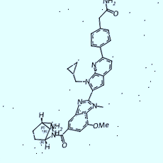 COc1cc(C(=O)N2C[C@H]3CC[C@@H]2[C@@H]3N)cc2nc(-c3cc4ccc(-c5ccc(CC(N)=O)cc5)nc4n3CC3CC3)n(C)c12